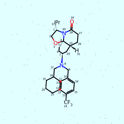 CC(C)[C@H]1CO[C@]23CC[C@H](N(Cc4ccc(C(F)(F)F)cc4)CC4CCCCC4)C[C@H]2CCC(=O)N13